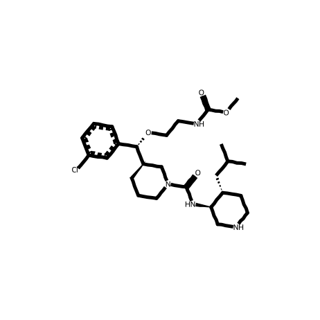 COC(=O)NCCO[C@@H](c1cccc(Cl)c1)[C@@H]1CCCN(C(=O)N[C@@H]2CNCC[C@H]2CC(C)C)C1